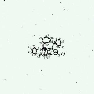 O=C(O)[C@@H]1C2CCC(CC2Oc2ccccc2)N1C(=O)C(c1ccccc1)c1ccccc1